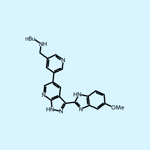 CCCCNCc1cncc(-c2cnc3[nH]nc(-c4nc5cc(OC)ccc5[nH]4)c3c2)c1